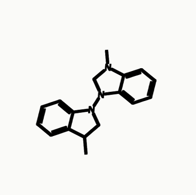 CC1CN(N2CN(C)c3ccccc32)c2ccccc21